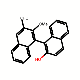 COc1c(C=O)cc2ccccc2c1-c1c(O)ccc2ccccc12